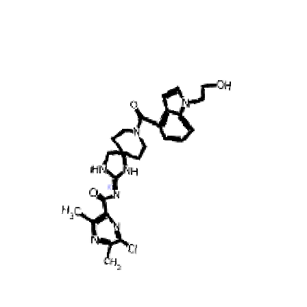 Cc1nc(C)c(C(=O)/N=C2\NCC3(CCN(C(=O)c4cccc5c4ccn5CCO)CC3)N2)nc1Cl